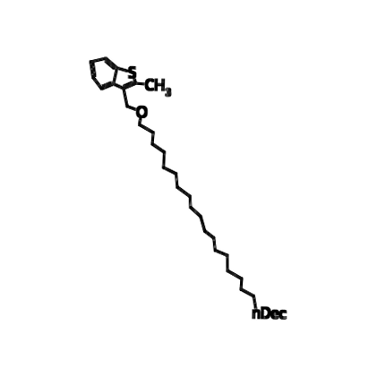 CCCCCCCCCCCCCCCCCCCCCCCCCCCCOCc1c(C)sc2ccccc12